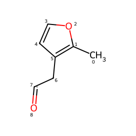 Cc1occc1C[C]=O